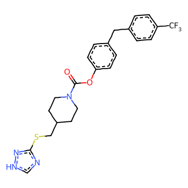 O=C(Oc1ccc(Cc2ccc(C(F)(F)F)cc2)cc1)N1CCC(CSc2nc[nH]n2)CC1